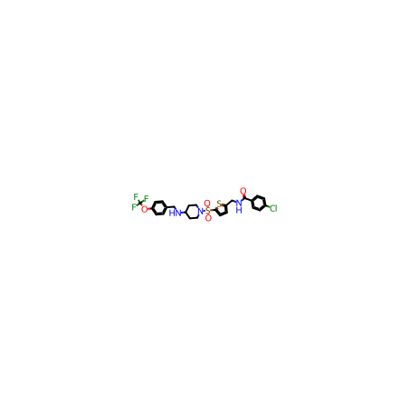 O=C(NCc1ccc(S(=O)(=O)N2CCC(NCc3ccc(OC(F)(F)F)cc3)CC2)s1)c1ccc(Cl)cc1